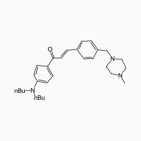 CCCCN(CCCC)c1ccc(C(=O)/C=C/c2ccc(CN3CCN(C)CC3)cc2)cc1